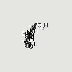 O=C1COc2ccc(CNC(=O)c3ncnc4c(NC[C@H]5CC[C@H](C(=O)O)CC5)n[nH]c34)cc2N1